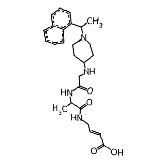 CC(NC(=O)CNC1CCN(C(C)c2cccc3ccccc23)CC1)C(=O)NC/C=C/C(=O)O